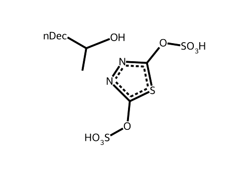 CCCCCCCCCCC(C)O.O=S(=O)(O)Oc1nnc(OS(=O)(=O)O)s1